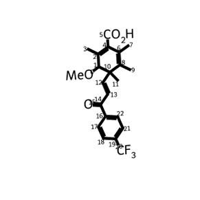 COC1C(C)=C(C(=O)O)C(C)=C(C)C1(C)C=CC(=O)c1ccc(C(F)(F)F)cc1